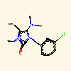 CN(C)c1c(C=O)n(C)c(=O)n1-c1cccc(Cl)c1